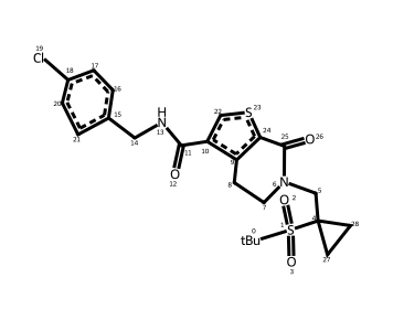 CC(C)(C)S(=O)(=O)C1(CN2CCc3c(C(=O)NCc4ccc(Cl)cc4)csc3C2=O)CC1